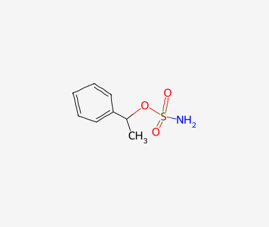 CC(OS(N)(=O)=O)c1ccccc1